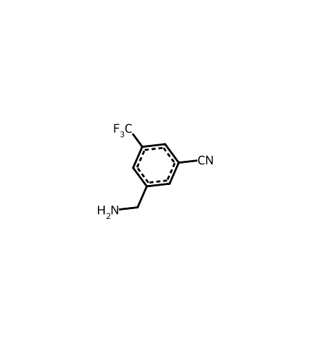 N#Cc1cc(CN)cc(C(F)(F)F)c1